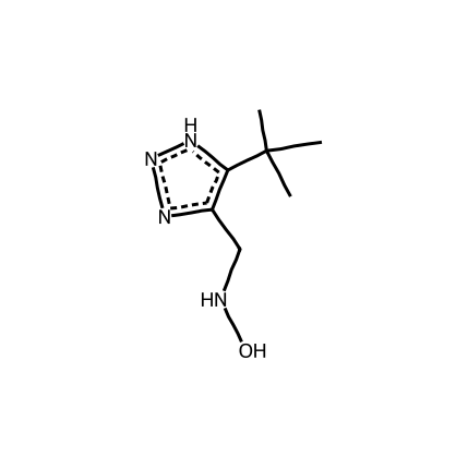 CC(C)(C)c1[nH]nnc1CNO